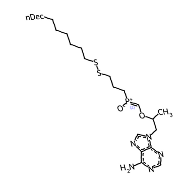 CCCCCCCCCCCCCCCCSSCCC/[P+]([O-])=C/OC(C)Cn1cnc2c(N)ncnc21